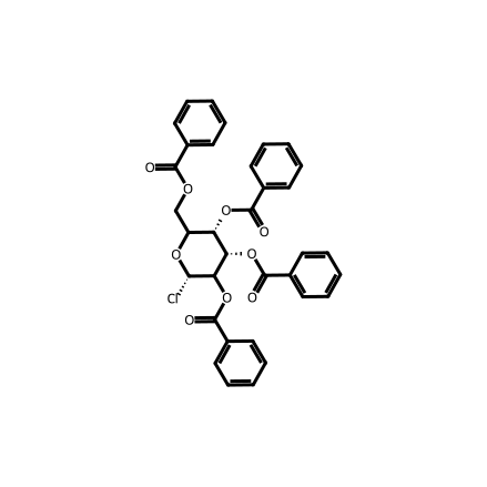 O=C(OCC1O[C@@H](Cl)C(OC(=O)c2ccccc2)[C@@H](OC(=O)c2ccccc2)[C@H]1OC(=O)c1ccccc1)c1ccccc1